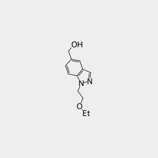 CCOCCn1ncc2cc(CO)ccc21